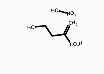 C=C(CCO)C(=O)O.O=[N+]([O-])O